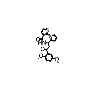 COc1ccc(OC)c(C(=O)CC2NC(=O)c3ccsc3-n3cccc32)c1